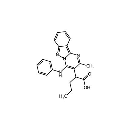 CCCC(C(=O)O)c1c(C)nc2c3ccccc3nn2c1Nc1ccccc1